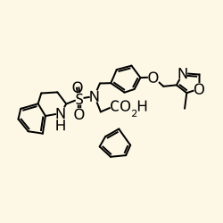 Cc1ocnc1COc1ccc(CN(CC(=O)O)S(=O)(=O)C2CCc3ccccc3N2)cc1.c1ccccc1